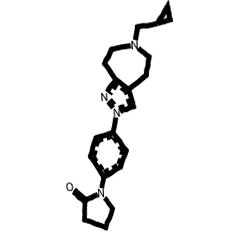 O=C1CCCN1c1ccc(-n2cc3c(n2)CCN(CC2CC2)CC3)cc1